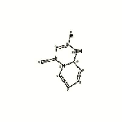 CC(C)C1=CC(=O)N2C=CC=CC2N1